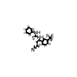 [N-]=[N+]=NCC(NC(=S)Nc1ccccc1)c1cccc(C(F)(F)F)c1